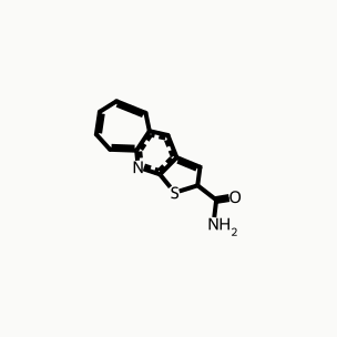 NC(=O)C1C=c2cc3c(nc2S1)=CC=CC=C3